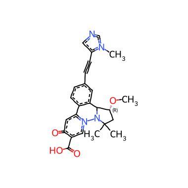 CO[C@@H]1CC(C)(C)N2C1c1cc(C#Cc3cncn3C)ccc1-c1cc(=O)c(C(=O)O)cn12